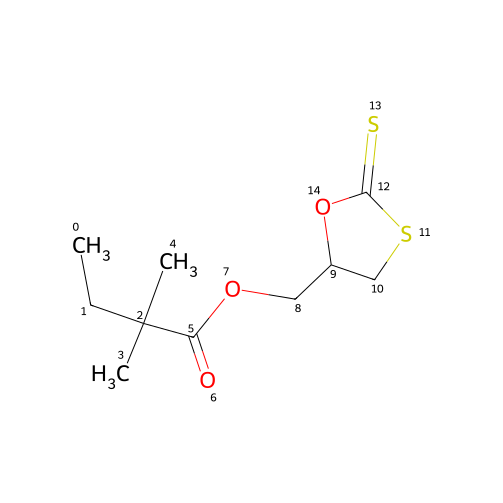 CCC(C)(C)C(=O)OCC1CSC(=S)O1